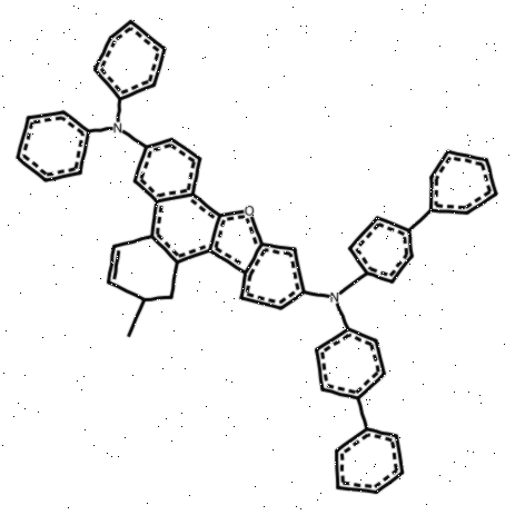 CC1C=Cc2c(c3c4ccc(N(c5ccc(-c6ccccc6)cc5)c5ccc(-c6ccccc6)cc5)cc4oc3c3ccc(N(c4ccccc4)c4ccccc4)cc23)C1